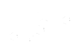 CC(C)[C@H](NC(=O)[C@H](COCc1ccccc1)NC(=O)OC(C)(C)C)C(=O)C(C)(C)C(=O)OCc1ccccc1